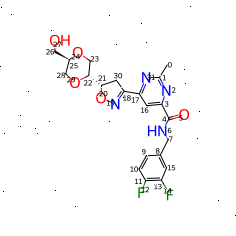 Cc1nc(C(=O)NCc2ccc(F)c(F)c2)cc(C2=NOC([C@H]3CO[C@H](CO)CO3)C2)n1